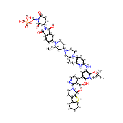 [2H]C([2H])([2H])Oc1ncc(-c2ccnc(N3CCc4c(sc5c4CCCC5)C3=O)c2CO)cc1Nc1ccc(N2CCN(C3CCN(c4ccc5c(c4)C(=O)N([C@H]4CCC(=O)N(COP(=O)(O)O)C4=O)C5=O)[C@H](C)C3)C[C@@H]2C)cn1